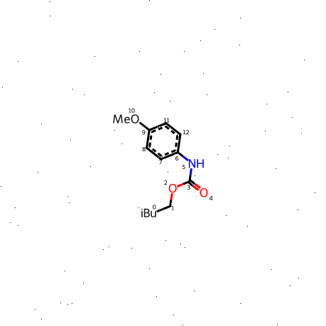 CCC(C)COC(=O)Nc1ccc(OC)cc1